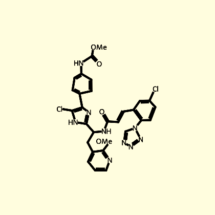 COC(=O)Nc1ccc(-c2nc(C(Cc3cccnc3OC)NC(=O)C=Cc3cc(Cl)ccc3-n3cnnn3)[nH]c2Cl)cc1